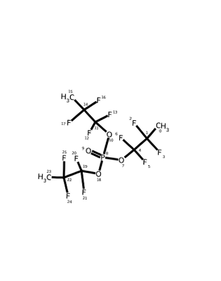 CC(F)(F)C(F)(F)OP(=O)(OC(F)(F)C(C)(F)F)OC(F)(F)C(C)(F)F